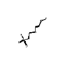 O=S(=O)(F)CCOC=COF